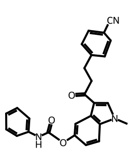 Cn1cc(C(=O)CCc2ccc(C#N)cc2)c2cc(OC(=O)Nc3ccccc3)ccc21